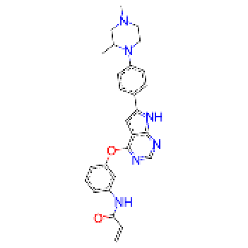 C=CC(=O)Nc1cccc(Oc2ncnc3[nH]c(-c4ccc(N5CCN(C)CC5C)cc4)cc23)c1